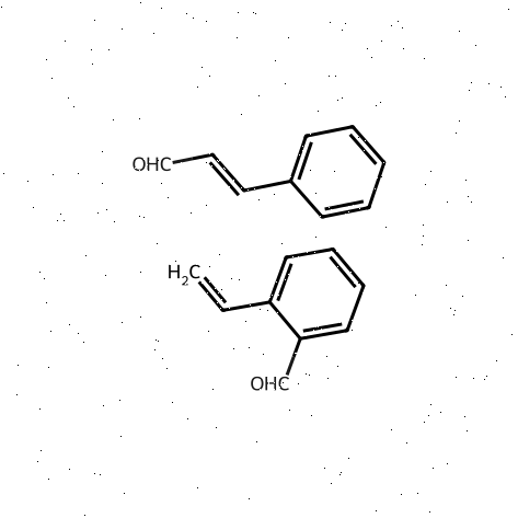 C=Cc1ccccc1C=O.O=CC=Cc1ccccc1